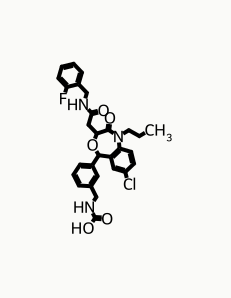 CCCN1C(=O)C(CC(=O)NCc2ccccc2F)OC(c2cccc(CNC(=O)O)c2)c2cc(Cl)ccc21